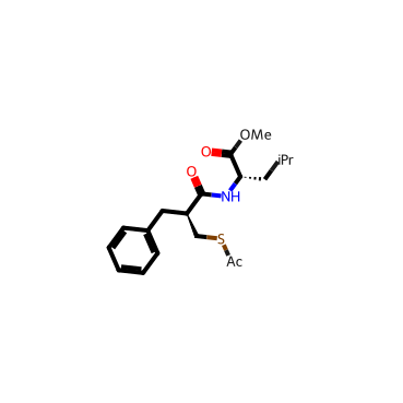 COC(=O)[C@H](CC(C)C)NC(=O)[C@@H](CSC(C)=O)Cc1ccccc1